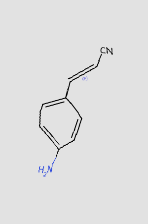 N#C/C=C/c1ccc(N)cc1